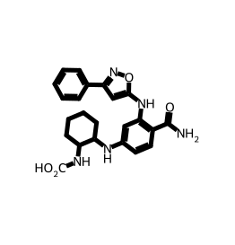 NC(=O)c1ccc(NC2CCCCC2NC(=O)O)cc1Nc1cc(-c2ccccc2)no1